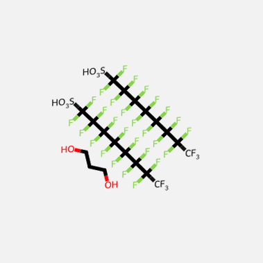 O=S(=O)(O)C(F)(F)C(F)(F)C(F)(F)C(F)(F)C(F)(F)C(F)(F)C(F)(F)C(F)(F)F.O=S(=O)(O)C(F)(F)C(F)(F)C(F)(F)C(F)(F)C(F)(F)C(F)(F)C(F)(F)C(F)(F)F.OCCCO